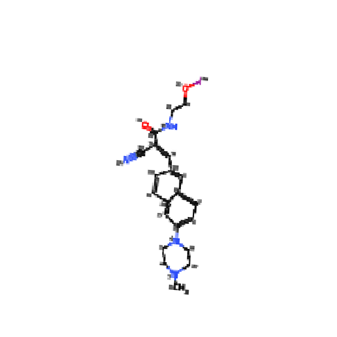 CN1CCN(c2ccc3cc(/C=C(\C#N)C(=O)NCCOI)ccc3c2)CC1